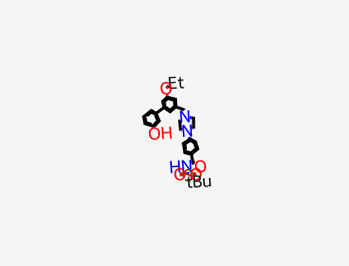 CCOc1cc(CN2CCN(c3ccc(C(=O)NS(=O)(=O)C(C)(C)C)cc3)CC2)cc(-c2cccc(O)c2)c1